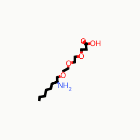 CCCCCCC(N)COCCOCCOCCC(=O)O